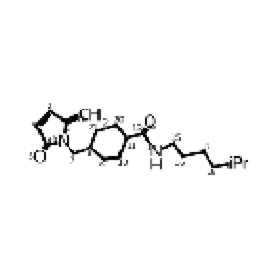 C=C1C=CC(=O)N1CC1CCC(C(=O)NCCCCC(C)C)CC1